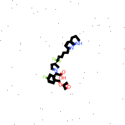 O=C(O)C(c1cc(F)ccc1COC1COC1)N1CC[C@@H](C(F)(F)CCCCc2ccc3c(n2)NCCC3)C1